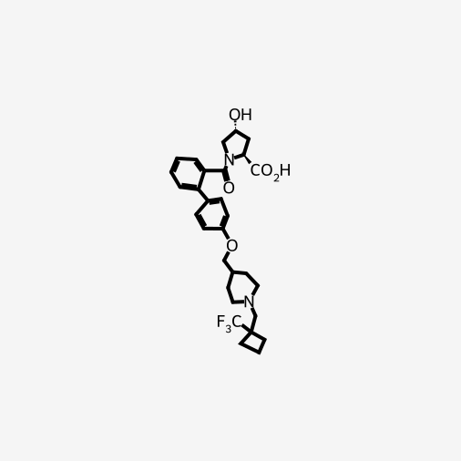 O=C(O)[C@@H]1C[C@@H](O)CN1C(=O)c1ccccc1-c1ccc(OCC2CCN(CC3(C(F)(F)F)CCC3)CC2)cc1